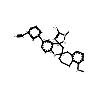 COc1cccc2c1CCCC1(C2)CC2(N=C(N)N(C)O2)c2cc(-c3cccc(C#N)c3)ccc2O1